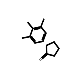 Cc1cccc(C)c1C.O=C1CCCC1